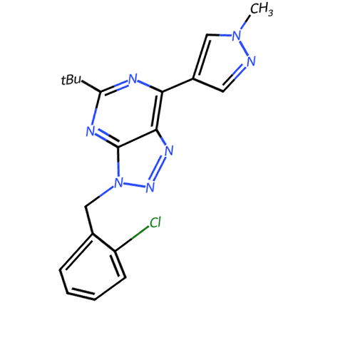 Cn1cc(-c2nc(C(C)(C)C)nc3c2nnn3Cc2ccccc2Cl)cn1